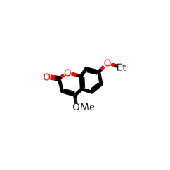 CCOc1ccc2c(OC)cc(=O)oc2c1